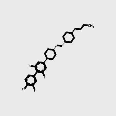 CCCC[C@H]1CC[C@H](CC[C@H]2CC[C@H](c3cc(F)c(-c4ccc(Cl)c(F)c4)c(F)c3)CC2)CC1